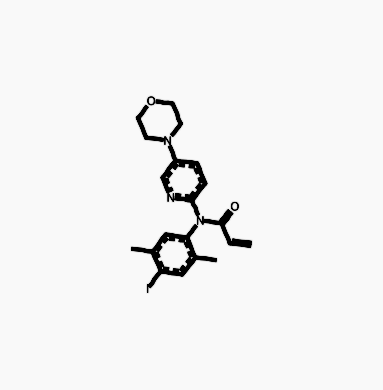 C=CC(=O)N(c1ccc(N2CCOCC2)cn1)c1cc(C)c(I)cc1C